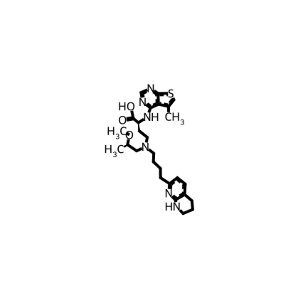 CO[C@H](C)CN(CCCCc1ccc2c(n1)NCCC2)CC[C@H](Nc1ncnc2scc(C)c12)C(=O)O